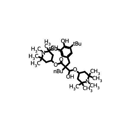 CCCCC(Cc1cc(C(C)(C)C)c(O)c(C(C)(C)C)c1)(C(=O)OC1CC(C)(C)N(C)C(C)(C)C1)C(O)OC1CC(C)(C)N(C)C(C)(C)C1